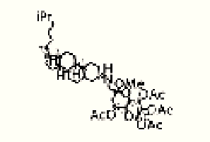 CO[C@]1(CN[C@@H]2CC[C@@]3(C)C(CC[C@H]4[C@@H]5CC[C@H]([C@H](C)CCCC(C)C)[C@@]5(C)CC[C@@H]43)C2)C[C@H](OC(C)=O)[C@@H](OC(C)=O)[C@H]([C@H](OC(C)=O)[C@H](COC(C)=O)OC(C)=O)O1